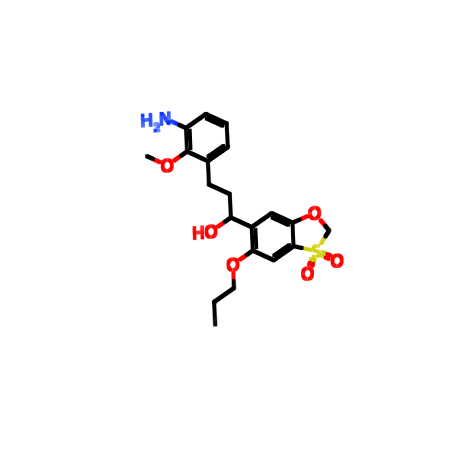 CCCOc1cc2c(cc1C(O)CCc1cccc(N)c1OC)OCS2(=O)=O